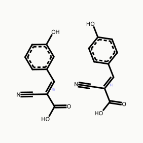 N#C/C(=C\c1ccc(O)cc1)C(=O)O.N#C/C(=C\c1cccc(O)c1)C(=O)O